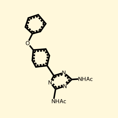 CC(=O)Nc1nc(NC(C)=O)nc(-c2ccc(Oc3ccccc3)cc2)n1